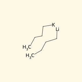 CCC[CH2][K].[Li][CH2]CCC